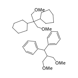 COCC(COC)(C1CCCCC1)C1CCCCC1.COCC(COC)C(c1ccccc1)c1ccccc1